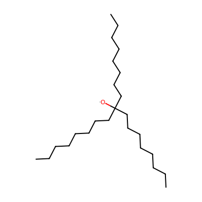 CCCCCCCCC([O])(CCCCCCCC)CCCCCCCC